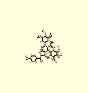 COc1ccc(C(=O)c2sc3nc(-c4cc(OC)c(OC)c(OC)c4)c(C(=O)O)c(-c4cc(OC)c(OC)c(OC)c4)c3c2N)cc1